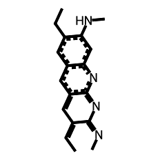 C/C=C1/C=c2cc3cc(CC)c(NC)cc3nc2=N/C1=N/C